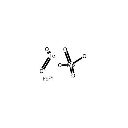 O=[Te]=O.[O]=[Mo](=[O])([O-])[O-].[Pb+2]